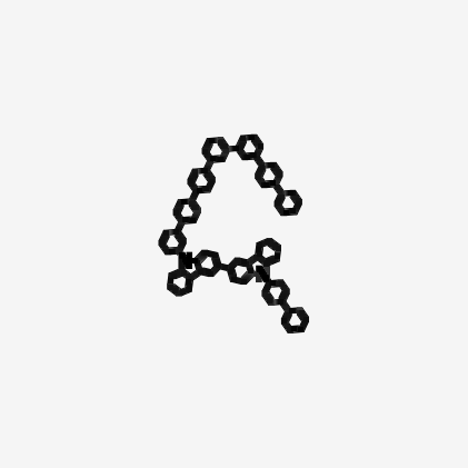 c1ccc(-c2ccc(-c3cccc(-c4cccc(-c5ccc(-c6ccc(-c7cccc(-n8c9ccccc9c9cc(-c%10ccc%11c(c%10)c%10ccccc%10n%11-c%10ccc(-c%11ccccc%11)cc%10)ccc98)c7)cc6)cc5)c4)c3)cc2)cc1